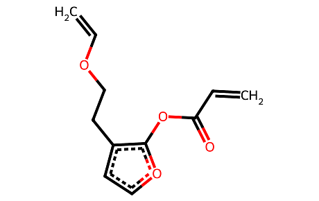 C=COCCc1ccoc1OC(=O)C=C